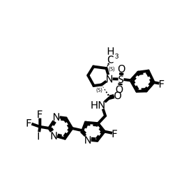 C[C@H]1CCC[C@@H](C(=O)NCc2cc(-c3cnc(C(F)(F)I)nc3)ncc2F)N1S(=O)(=O)c1ccc(F)cc1